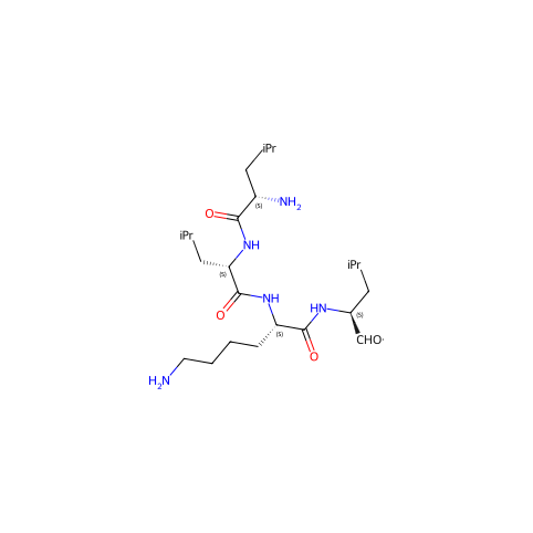 CC(C)C[C@@H]([C]=O)NC(=O)[C@H](CCCCN)NC(=O)[C@H](CC(C)C)NC(=O)[C@@H](N)CC(C)C